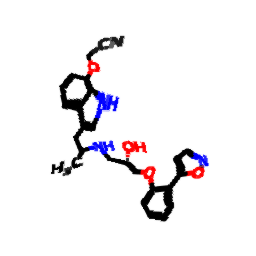 CC(Cc1c[nH]c2c(OCC#N)cccc12)NC[C@H](O)COc1ccccc1-c1ccno1